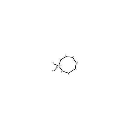 C[PH]1(C)CCCCCCC1